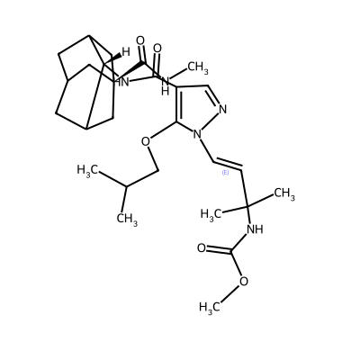 CNC(=O)[C@]12CC3CC(C1)[C@@H](NC(=O)c1cnn(/C=C/C(C)(C)NC(=O)OC)c1OCC(C)C)C(C3)C2